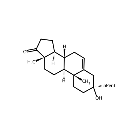 CCCCC[C@]1(O)CC[C@@]2(C)C(=CC[C@@H]3[C@@H]2CC[C@]2(C)C(=O)CC[C@@H]32)C1